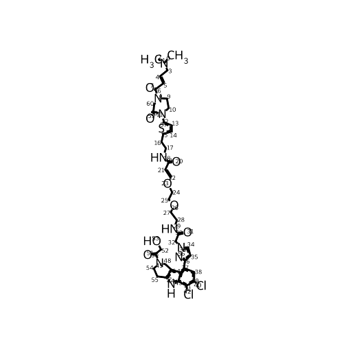 CN(C)CC=CC(=O)N1CCN(c2ccc(CCNC(=O)/C=C/OCCOCCNC(=O)Cn3ccc(-c4cc(Cl)c(Cl)c5[nH]c6c(c45)CN(C(=O)CO)CC6)n3)s2)C(=O)C1